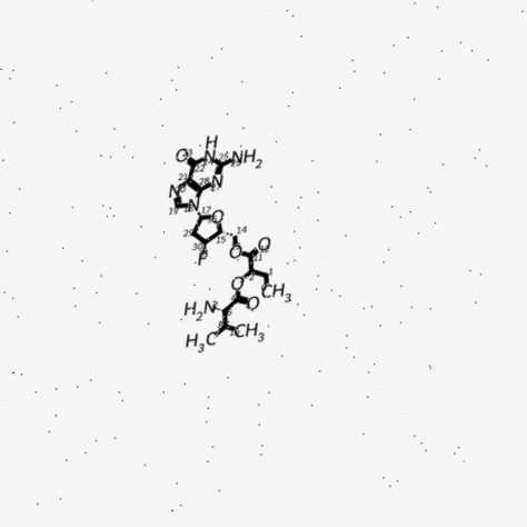 CCC(OC(=O)[C@@H](N)C(C)C)C(=O)OC[C@H]1O[C@@H](n2cnc3c(=O)[nH]c(N)nc32)C[C@@H]1F